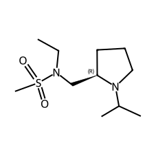 CCN(C[C@H]1CCCN1C(C)C)S(C)(=O)=O